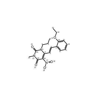 CCCn1c(C=Cc2ccccc2OCC)c([N+](=O)[O-])c(=O)n(C)c1=O